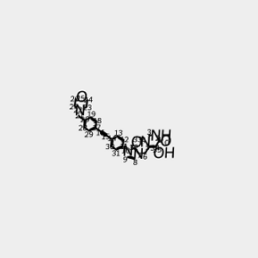 O=c1[nH]cnc(Cn2ccn(-c3ccc(C#Cc4ccc(CN5CCOCC5)cc4)cc3)c2=O)c1O